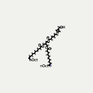 CCCCCCCC/C=C\CCCCCCCC(=O)OCC(COC(=O)CCCCCCC/C=C\CCCCCCCC)COC(=O)CCCCCN1CC(CO)C1